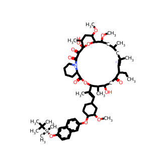 CCC1/C=C(\C)CC(C)CC(OC)C2OC(O)(C(=O)C(=O)N3CCCCC3C(=O)OC(C(C)=CC3CCC(Oc4ccc5cc(O[Si](C)(C)C(C)(C)C)ccc5c4)C(OC)C3)C(C)C(O)CC1=O)C(C)CC2OC